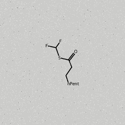 CCCCCCCC(=O)SC(F)F